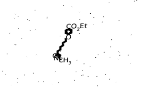 CCOC(=O)c1ccc(OCCCCCCCc2cc(C)no2)cc1